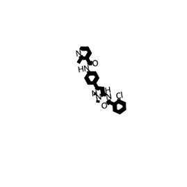 Cc1ncccc1C(=O)Nc1ccc(-c2cc(NC(=O)c3ccccc3Cl)n(C)n2)cc1